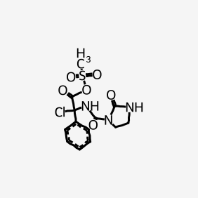 CS(=O)(=O)OC(=O)C(Cl)(NC(=O)N1CCNC1=O)c1ccccc1